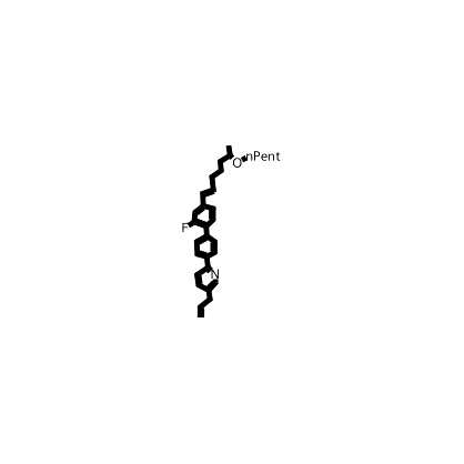 C=CCc1ccc(-c2ccc(-c3ccc(/C=C/CCCC(C)OCCCCC)cc3F)cc2)nc1